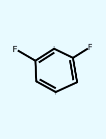 Fc1[c]c(F)c[c]c1